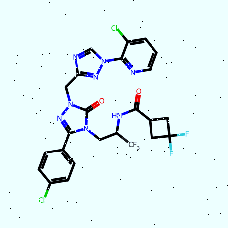 O=C(NC(Cn1c(-c2ccc(Cl)cc2)nn(Cc2ncn(-c3ncccc3Cl)n2)c1=O)C(F)(F)F)C1CC(F)(F)C1